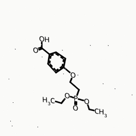 CCOP(=O)(CCOc1ccc(C(=O)O)cc1)OCC